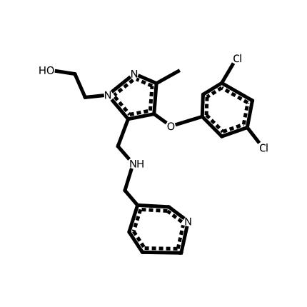 Cc1nn(CCO)c(CNCc2cccnc2)c1Oc1cc(Cl)cc(Cl)c1